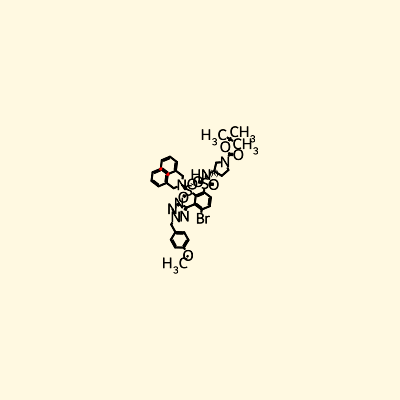 COc1ccc(Cn2nnc(-c3c(Br)ccc(S(=O)(=O)N[C@@H]4CCN(C(=O)OC(C)(C)C)C4)c3S(=O)(=O)N(Cc3ccccc3)Cc3ccccc3)n2)cc1